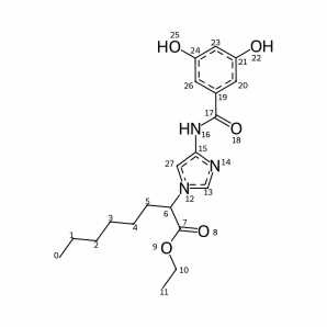 CCCCCCC(C(=O)OCC)n1cnc(NC(=O)c2cc(O)cc(O)c2)c1